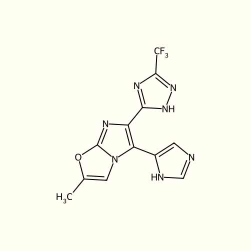 Cc1cn2c(-c3cnc[nH]3)c(-c3nc(C(F)(F)F)n[nH]3)nc2o1